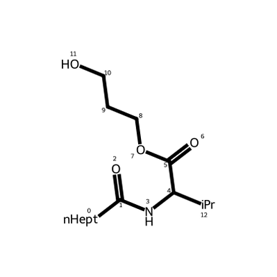 CCCCCCCC(=O)NC(C(=O)OCCCO)C(C)C